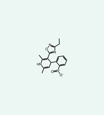 CCc1noc(C2=C(C)NC(C)=CC2c2ccccc2[N+](=O)[O-])n1